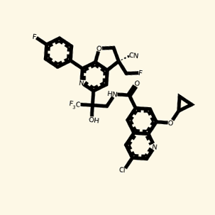 N#C[C@@]1(CF)COc2c1cc(C(O)(CNC(=O)c1cc(OC3CC3)c3ncc(Cl)cc3c1)C(F)(F)F)nc2-c1ccc(F)cc1